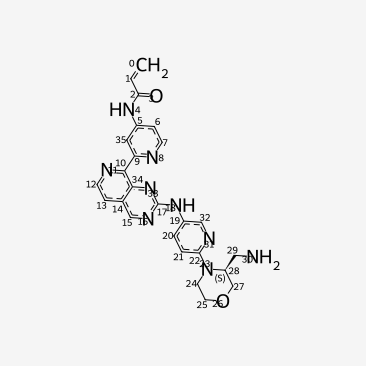 C=CC(=O)Nc1ccnc(-c2nccc3cnc(Nc4ccc(N5CCOC[C@@H]5CN)nc4)nc23)c1